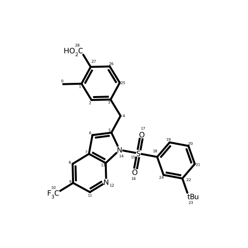 Cc1cc(Cc2cc3cc(C(F)(F)F)cnc3n2S(=O)(=O)c2cccc(C(C)(C)C)c2)ccc1C(=O)O